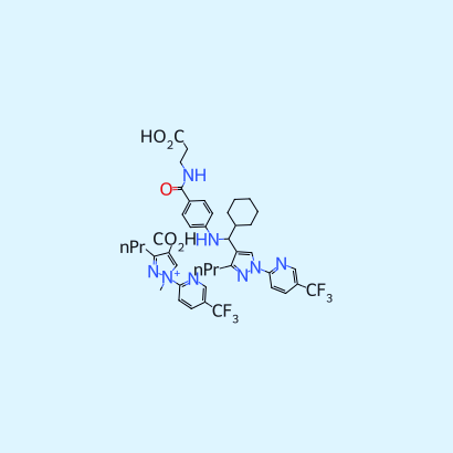 CCCC1=N[N+](C)(c2ccc(C(F)(F)F)cn2)C=C1C(=O)O.CCCc1nn(-c2ccc(C(F)(F)F)cn2)cc1C(Nc1ccc(C(=O)NCCC(=O)O)cc1)C1CCCCC1